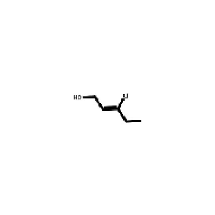 CCC(Cl)=CCO